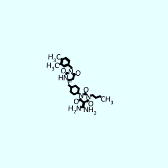 CCCCN1C(=O)C(=C(N)N)C(=O)N(C2CCC(C[C@H]3CC(=O)N(Cc4ccc(C)c(C)c4)C(=O)N3)CC2)C1=O